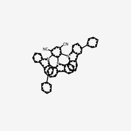 N#Cc1cc(C#N)c(-n2c3ccccc3c3cc(-c4ccccc4)ccc32)c(-n2c3ccccc3c3ccccc32)c1-n1c2ccccc2c2cc(-c3ccccc3)ccc21